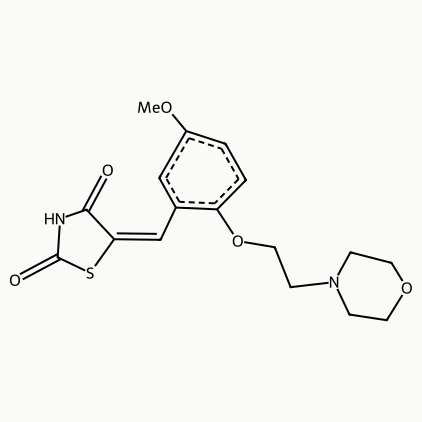 COc1ccc(OCCN2CCOCC2)c(/C=C2/SC(=O)NC2=O)c1